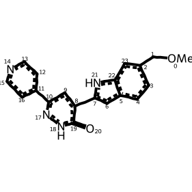 COCc1ccc2cc(-c3cc(-c4ccncc4)n[nH]c3=O)[nH]c2c1